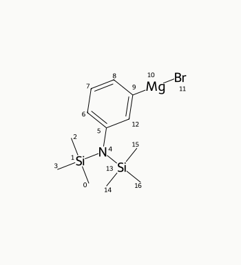 C[Si](C)(C)N(c1ccc[c]([Mg][Br])c1)[Si](C)(C)C